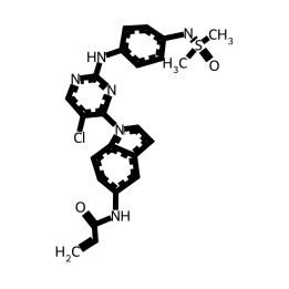 C=CC(=O)Nc1ccc2c(ccn2-c2nc(Nc3ccc(N=S(C)(C)=O)cc3)ncc2Cl)c1